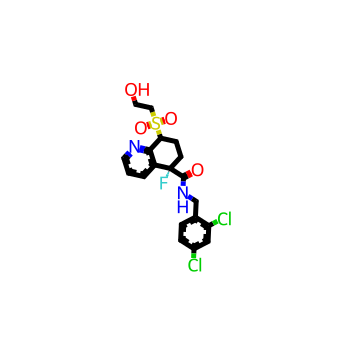 O=C(NCc1ccc(Cl)cc1Cl)[C@]1(F)CCC(S(=O)(=O)CCO)c2ncccc21